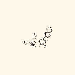 CC[C@@]1(OC(C)C)C(=O)CCc2c1cc1n(c2=O)Cc2cc3ccccc3nc2-1